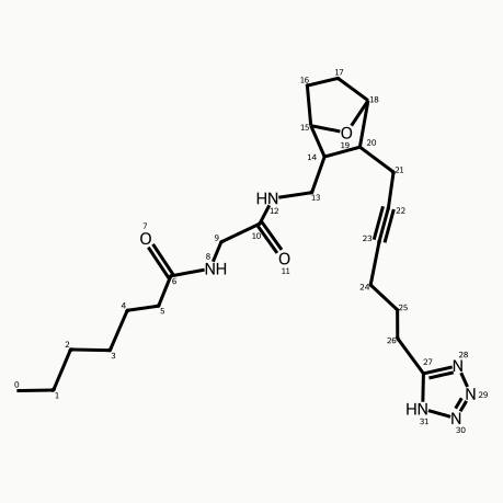 CCCCCCC(=O)NCC(=O)NCC1C2CCC(O2)C1CC#CCCCc1nnn[nH]1